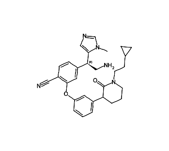 Cn1cncc1[C@@H](CN)c1ccc(C#N)c(Oc2cccc(C3CCCN(CCC4CC4)C3=O)c2)c1